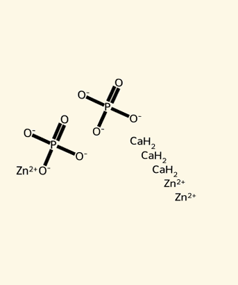 O=P([O-])([O-])[O-].O=P([O-])([O-])[O-].[CaH2].[CaH2].[CaH2].[Zn+2].[Zn+2].[Zn+2]